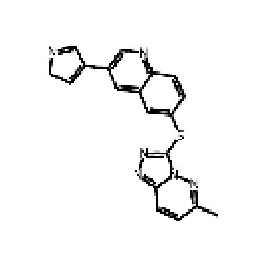 Cc1ccc2nnc(Sc3ccc4ncc(C5=CCN=C5)cc4c3)n2n1